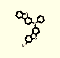 Brc1ccc2c(c1)sc1ccc(N(c3ccccc3)c3ccc4c(c3)oc3ccccc34)cc12